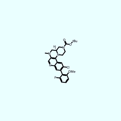 COc1cccc(F)c1-c1cc2ncc3c(c2cc1Cl)N1CCN(C(=O)OC(C)(C)C)C[C@@H]1CN3C